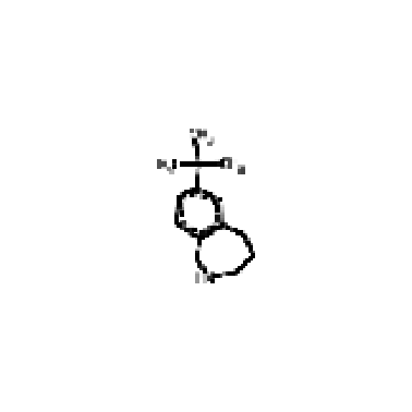 CC(C)(C)c1ccc2c(c1)CCCNC2